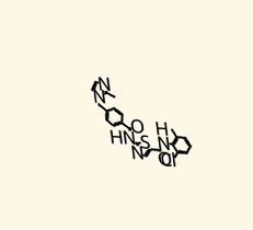 Cc1cccc(Cl)c1NC(=O)c1cnc(NC(=O)c2ccc(Cn3ccnc3C)cc2)s1